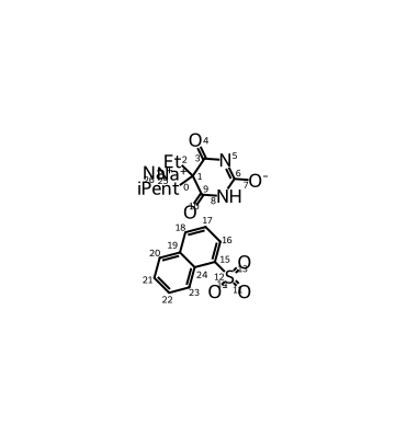 CCCC(C)C1(CC)C(=O)N=C([O-])NC1=O.O=S(=O)([O-])c1cccc2ccccc12.[Na+].[Na+]